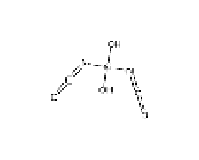 O=C=N[Si](O)(O)N=C=O